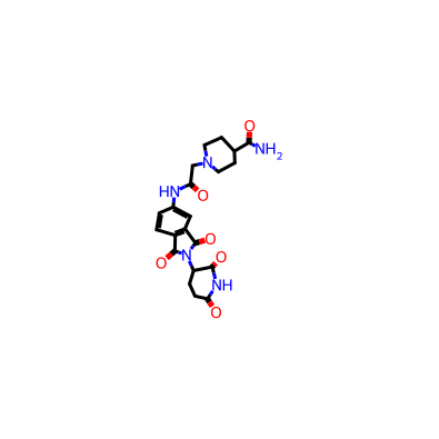 NC(=O)C1CCN(CC(=O)Nc2ccc3c(c2)C(=O)N(C2CCC(=O)NC2=O)C3=O)CC1